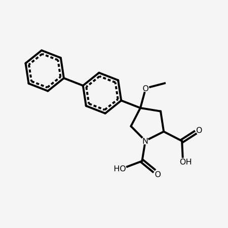 COC1(c2ccc(-c3ccccc3)cc2)CC(C(=O)O)N(C(=O)O)C1